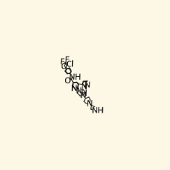 O=C(Nc1ccc(OC(F)(F)Cl)cc1)c1cnc(N2CCN(C3CCN(C4CNC4)CC3)CC2)c(-c2ccn[nH]2)c1